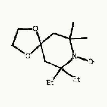 CCC1(CC)CC2(CC(C)(C)N1[O])OCCO2